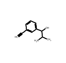 C#Cc1cccc(C(O)C(C)N)c1